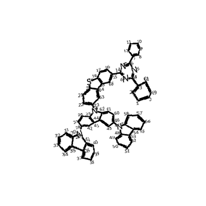 c1ccc(-c2nc(-c3ccccc3)nc(-c3ccc4sc5ccc(-n6c7ccc(-n8c9ccccc9c9ccccc98)cc7c7cc(-n8c9ccccc9c9ccccc98)ccc76)cc5c4c3)n2)cc1